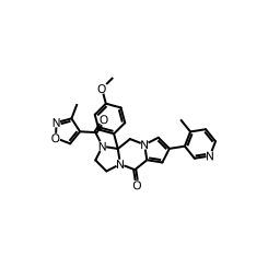 COc1ccc(C23Cn4cc(-c5cnccc5C)cc4C(=O)N2CCN3C(=O)c2conc2C)cc1